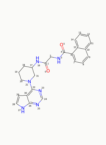 O=C(CNC(=O)c1cccc2ccccc12)NC1CCCN(c2ncnc3[nH]ccc23)C1